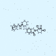 O=C1CCC(N2Cc3cc(C[C@H]4CCCC[C@@H]4NCC45CCC(CC4)CC5)ccc3C2=O)C(=O)N1